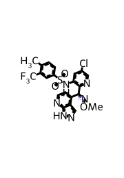 CO/N=C(/c1ncc(Cl)cc1NS(=O)(=O)c1ccc(C)c(C(F)(F)F)c1)c1ccnc2[nH]ncc12